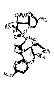 C/C=C(OC)\C(=C(/C)OC)n1c(NS(=O)(=O)[C@@H](C)[C@@H](OC)c2ncc(Cl)cn2)nnc1-c1cccc(OC)n1